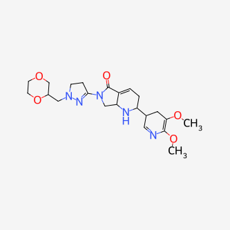 COC1=C(OC)N=CC(C2CC=C3C(=O)N(C4=NN(CC5COCCO5)CC4)CC3N2)C1